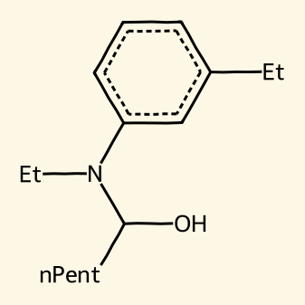 CCCCCC(O)N(CC)c1cccc(CC)c1